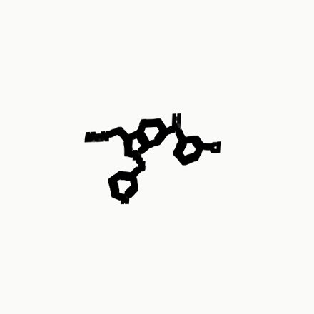 CNCc1cn(Sc2cccnc2)c2cc(Nc3cccc(Cl)c3)ccc12